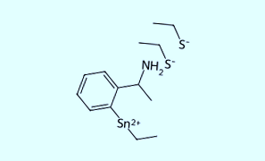 CC[S-].CC[S-].C[CH2][Sn+2][c]1ccccc1C(C)N